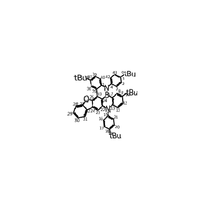 CC(C)(C)c1ccc(N2B3c4cc(C(C)(C)C)ccc4N(c4ccc(C(C)(C)C)cc4)c4cc5c(oc6ccccc65)c(c43)-c3cc(C(C)(C)C)ccc32)cc1